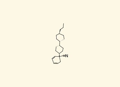 CCC[C@H]1CC[C@H]([C@H]2CC[C@H](C3(C#N)C=CC=CC3)CC2)CC1